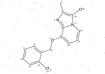 Cc1nc2c(OCc3ccccc3C(F)(F)F)cccn2c1Cl